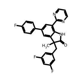 CC1(Cc2cc(F)cc(F)c2)C(=O)Nc2c(-c3ncccn3)cc(-c3ccc(F)cc3)cc21